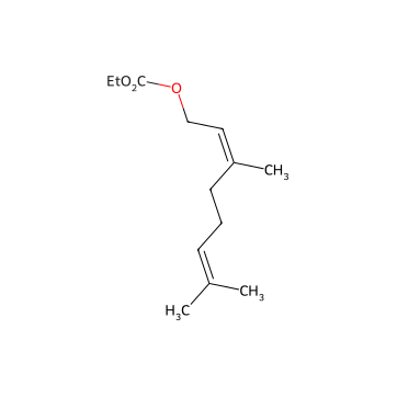 CCOC(=O)OCC=C(C)CCC=C(C)C